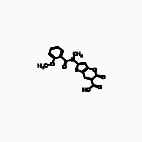 COc1ccccc1C(=O)N(C)c1cc2oc(=O)c(C(=O)O)cc2s1